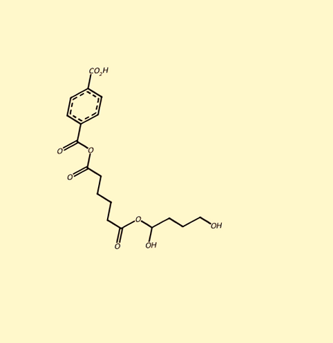 O=C(CCCCC(=O)OC(O)CCCO)OC(=O)c1ccc(C(=O)O)cc1